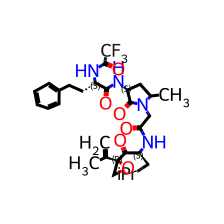 C=C(C)[C@]1(C(=O)[C@H](CC(C)C)NC(=O)CN2C(=O)[C@@H](NC(=O)[C@H](CCc3ccccc3)NC(=O)C(F)(F)F)CC2C)CO1